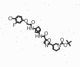 CC(C)(C)OC(=O)N1CCC=C(c2ncc(C(=O)NC3CC4(NC(=O)COc5ccc(Cl)c(F)c5)CC3C4)o2)C1